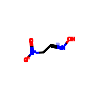 O=[N+]([O-])C/C=N/O